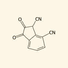 N#Cc1cccc2c1C(C#N)C(=O)C2=O